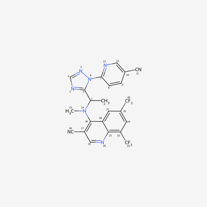 CC(c1ncnn1-c1ccc(C#N)cn1)N(C)c1c(C#N)cnc2c(C(F)(F)F)cc(C(F)(F)F)cc12